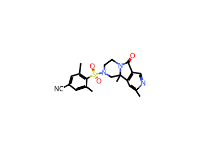 Cc1cc2c(cn1)C(=O)N1CCN(S(=O)(=O)c3c(C)cc(C#N)cc3C)CC21C